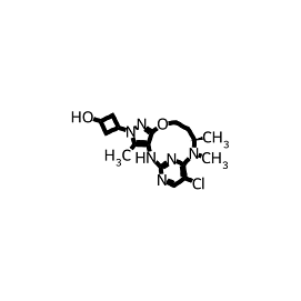 Cc1c2c(nn1C1CC(O)C1)OCC[C@@H](C)N(C)c1nc(ncc1Cl)N2